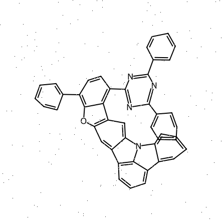 c1ccc(-c2nc(-c3ccccc3)nc(-c3ccc(-c4ccccc4)c4oc5cc6c7cccc8c9ccccc9n(c6cc5c34)c87)n2)cc1